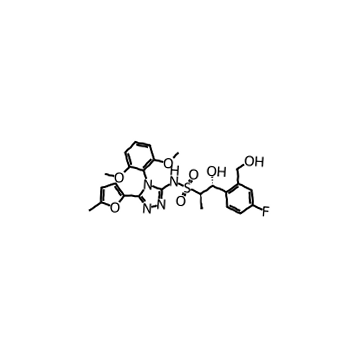 COc1cccc(OC)c1-n1c(NS(=O)(=O)[C@H](C)[C@H](O)c2ccc(F)cc2CO)nnc1-c1ccc(C)o1